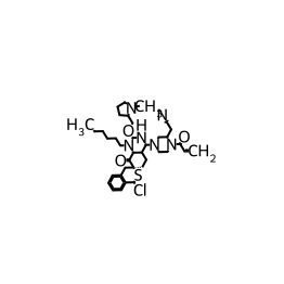 C=CC(=O)N1CCN(C2NC(OCC3CCCN3C)N(CCCCCC)C3C(=O)[C@]4(CCC23)Cc2ccccc2C(Cl)S4)CC1CC#N